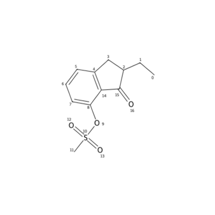 CCC1Cc2cccc(OS(C)(=O)=O)c2C1=O